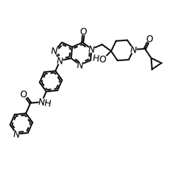 O=C(Nc1ccc(-n2ncc3c(=O)n(CC4(O)CCN(C(=O)C5CC5)CC4)cnc32)cc1)c1ccncc1